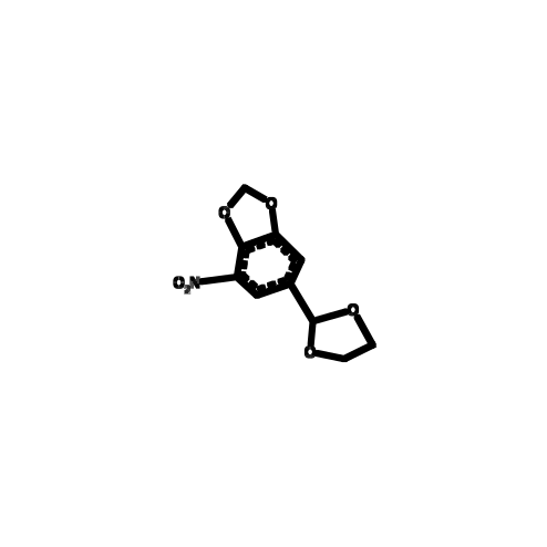 O=[N+]([O-])c1cc(C2OCCO2)cc2c1OCO2